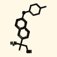 CC1CCC(Oc2ccc3cc(C(C)(N)CO)ccc3c2)CC1